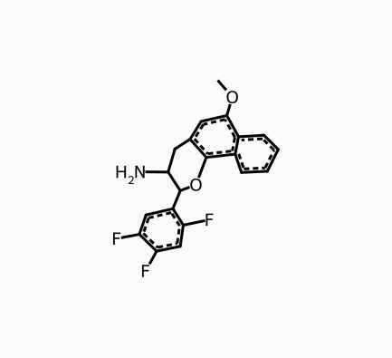 COc1cc2c(c3ccccc13)OC(c1cc(F)c(F)cc1F)C(N)C2